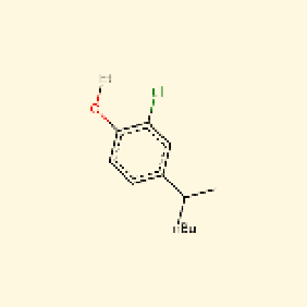 CCCC[C](C)c1ccc(OCC)c(Cl)c1